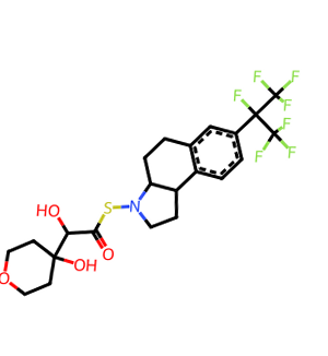 O=C(SN1CCC2c3ccc(C(F)(C(F)(F)F)C(F)(F)F)cc3CCC21)C(O)C1(O)CCOCC1